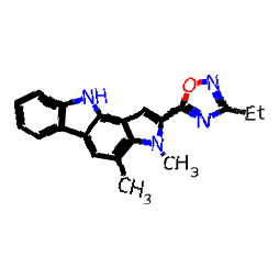 CCc1noc(-c2cc3c4[nH]c5ccccc5c4cc(C)c3n2C)n1